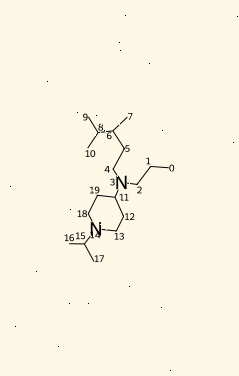 CCCN(CCC(C)C(C)C)C1CCN(C(C)C)CC1